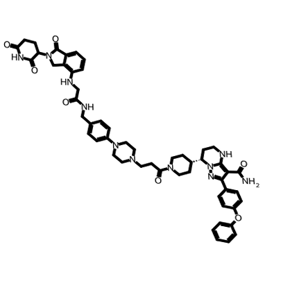 NC(=O)c1c(-c2ccc(Oc3ccccc3)cc2)nn2c1NCC[C@H]2C1CCN(C(=O)CCN2CCN(c3ccc(CNC(=O)CNc4cccc5c4CN(C4CCC(=O)NC4=O)C5=O)cc3)CC2)CC1